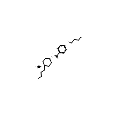 CCCCOc1ccc(C(=O)O[C@H]2CC[C@@](C#N)(CCCC)CC2)cc1